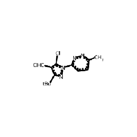 Cc1ccc(-n2nc(C(C)(C)C)c(C=O)c2Cl)nn1